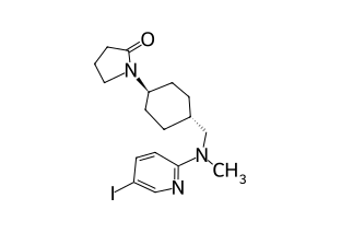 CN(C[C@H]1CC[C@H](N2CCCC2=O)CC1)c1ccc(I)cn1